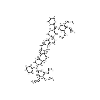 COc1cc(N(c2ccccc2)c2ccc3c(ccc4c5cc6c(cc5oc34)oc3c4ccc(N(c5ccccc5)c5cc(OC)c(OC)c(OC)c5)cc4ccc63)c2)cc(OC)c1OC